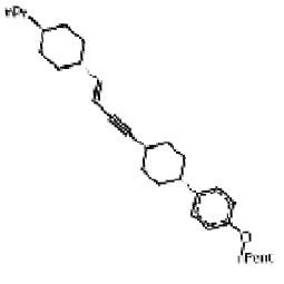 CCCCCOc1ccc([C@H]2CC[C@H](C#C/C=C/[C@H]3CC[C@H](CCC)CC3)CC2)cc1